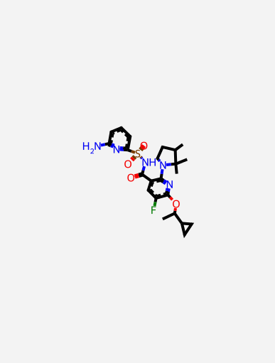 CC(Oc1nc(N2CCC(C)C2(C)C)c(C(=O)NS(=O)(=O)c2cccc(N)n2)cc1F)C1CC1